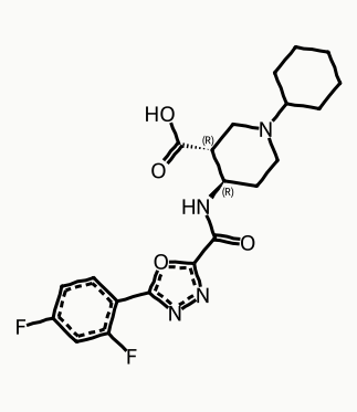 O=C(N[C@@H]1CCN(C2CCCCC2)C[C@H]1C(=O)O)c1nnc(-c2ccc(F)cc2F)o1